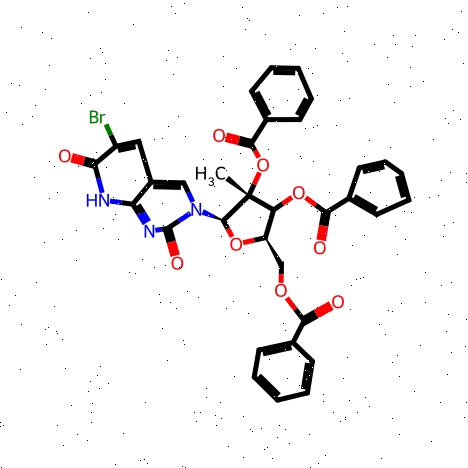 C[C@@]1(OC(=O)c2ccccc2)C(OC(=O)c2ccccc2)[C@@H](COC(=O)c2ccccc2)O[C@H]1n1cc2cc(Br)c(=O)[nH]c2nc1=O